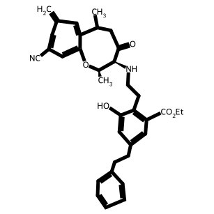 C=C1C=C(C#N)C=C2O[C@H](C)[C@H](NCCc3c(O)cc(CCc4ccccc4)cc3C(=O)OCC)C(=O)CC(C)C2=C1